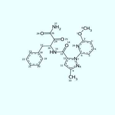 COc1cccc(-n2nc(C)cc2C(=O)NC(Cc2ccccc2)C(=O)C(N)=O)n1